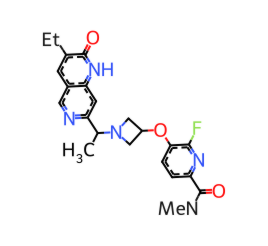 CCc1cc2cnc(C(C)N3CC(Oc4ccc(C(=O)NC)nc4F)C3)cc2[nH]c1=O